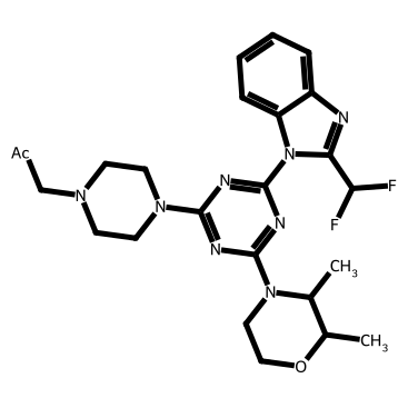 CC(=O)CN1CCN(c2nc(N3CCOC(C)C3C)nc(-n3c(C(F)F)nc4ccccc43)n2)CC1